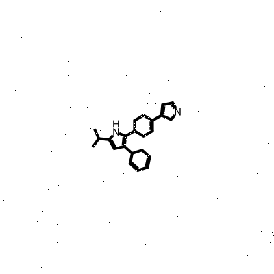 CC(C)c1cc(C2C=CC=CC2)c(C2CC=C(C3=CC=NC3)CC2)[nH]1